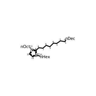 CCCCCCCCCCCCCCCCCCc1n(CCCCCCCC)cc[n+]1CCCCCC